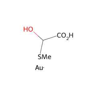 CSC(O)C(=O)O.[Au]